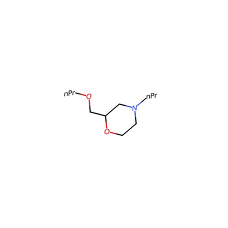 CCCOCC1CN(CCC)CCO1